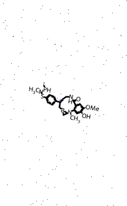 COc1cc2c(cc1O)N(C)C1CB1C/C(c1ccc(SN(C)PI)cc1)=C\CNC2=O